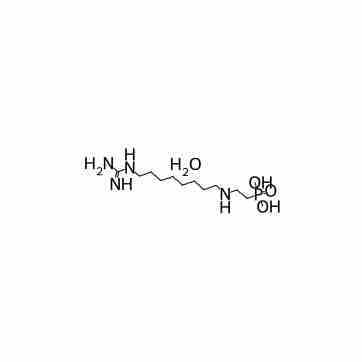 N=C(N)NCCCCCCCCNCCP(=O)(O)O.O